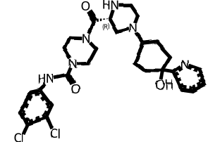 O=C(Nc1ccc(Cl)c(Cl)c1)N1CCN(C(=O)[C@H]2CN(C3CCC(O)(c4ccccn4)CC3)CCN2)CC1